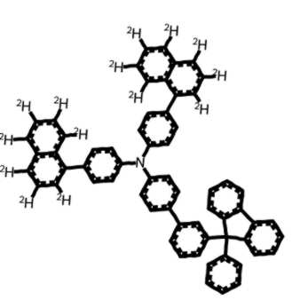 [2H]c1c([2H])c([2H])c2c(-c3ccc(N(c4ccc(-c5cccc(C6(c7ccccc7)c7ccccc7-c7ccccc76)c5)cc4)c4ccc(-c5c([2H])c([2H])c([2H])c6c([2H])c([2H])c([2H])c([2H])c56)cc4)cc3)c([2H])c([2H])c([2H])c2c1[2H]